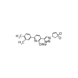 COc1nc(-c2ccc(C)c(C)c2)ccc1-c1cn([C@@H]2C=CS(=O)(=O)C2)nn1